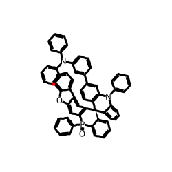 O=P1(c2ccccc2)c2ccccc2[C@@]2(c3ccccc3N(c3ccccc3)c3cc(-c4cccc(N(c5ccccc5)c5ccccc5)c4)ccc32)c2cc3c(cc21)oc1ccccc13